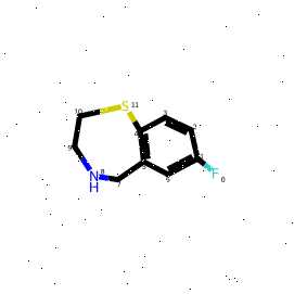 Fc1ccc2c(c1)CNCCS2